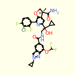 C[C@]1(C(N)=O)COc2c1cc([C@@](O)(CNC(=O)c1cc(OC(F)F)c3nn(C4CC4)cc3c1)C1CC1)nc2-c1ccc(F)c(Cl)c1F